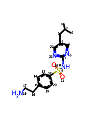 CC(C)Cc1cnc(NS(=O)(=O)c2ccc(CCN)cc2)nc1